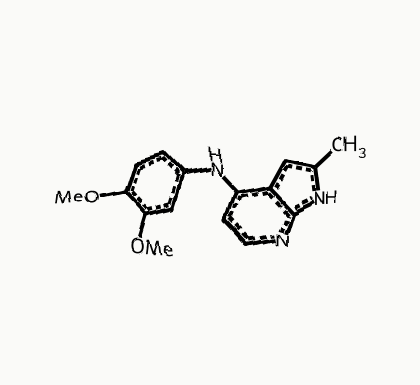 COc1ccc(Nc2ccnc3[nH]c(C)cc23)cc1OC